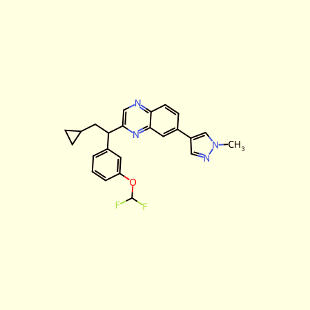 Cn1cc(-c2ccc3ncc(C(CC4CC4)c4cccc(OC(F)F)c4)nc3c2)cn1